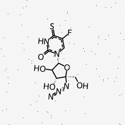 [N-]=[N+]=N[C@]1(CO)O[C@@H](n2cc(F)c(=S)[nH]c2=O)C(O)[C@H]1O